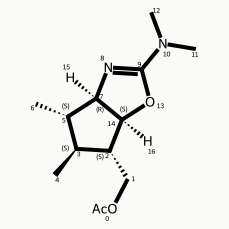 CC(=O)OC[C@@H]1[C@@H](C)[C@H](C)[C@H]2N=C(N(C)C)O[C@@H]12